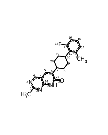 Cc1ncc2cc(C3CCC(c4c(C)cccc4F)CC3)c(=O)[nH]c2n1